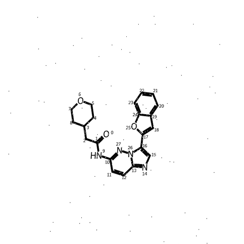 O=C(CC1CCOCC1)Nc1ccc2ncc(-c3cc4ccccc4o3)n2n1